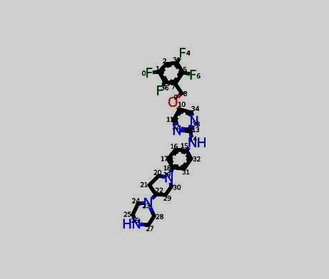 Fc1cc(F)c(F)c(COc2cnc(Nc3ccc(N4CCC(N5CCNCC5)CC4)cc3)nc2)c1F